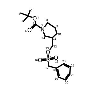 CC(C)(C)OC(=O)N1CCCC(COS(=O)(=O)Cc2ccccc2)C1